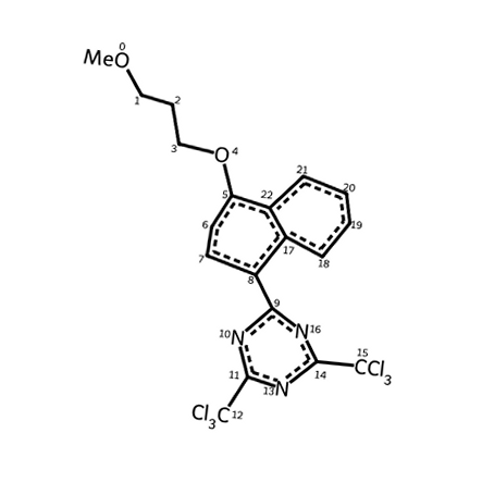 COCCCOc1ccc(-c2nc(C(Cl)(Cl)Cl)nc(C(Cl)(Cl)Cl)n2)c2ccccc12